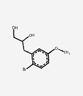 COc1ccc(Br)c(CC(O)CO)c1